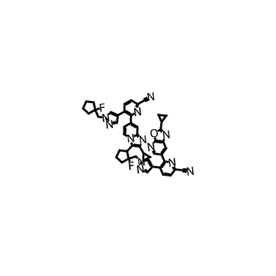 N#Cc1ccc(-c2cnn(CC3(F)CCCC3c3c(C4CC4)nc4cc(-c5nc(C#N)ccc5-c5cnn(CC6(F)CCCC6)c5)ccn34)c2)c(-c2cnc3oc(C4CC4)nc3c2)n1